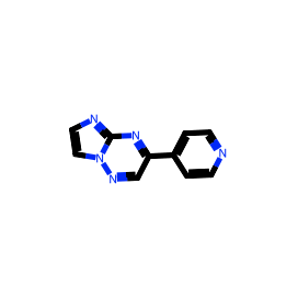 c1cc(-c2cnn3ccnc3n2)ccn1